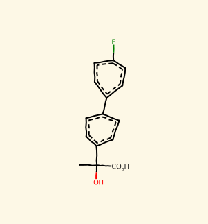 CC(O)(C(=O)O)c1ccc(-c2ccc(F)cc2)cc1